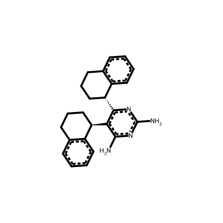 Nc1nc(N)c([C@@H]2CCCc3ccccc32)c([C@@H]2CCCc3ccccc32)n1